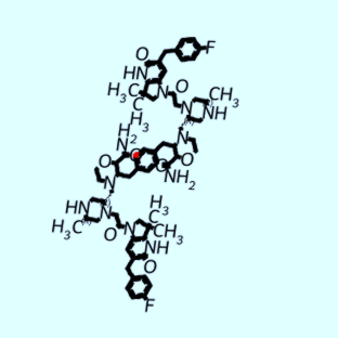 C[C@@H]1CN(CC(=O)N2CC(C)(C)c3[nH]c(=O)c(Cc4ccc(F)cc4)cc32)[C@@H](CN2CCOC(C(N)=O)C2Cc2ccc(CC3C(C(N)=O)OCCN3C[C@H]3CN[C@H](C)CN3CC(=O)N3CC(C)(C)c4[nH]c(=O)c(Cc5ccc(F)cc5)cc43)cc2)CN1